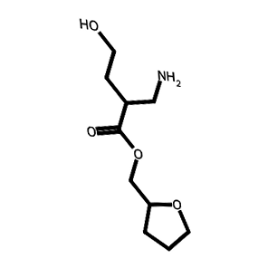 NCC(CCO)C(=O)OCC1CCCO1